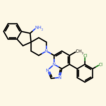 Cc1cc(N2CCC3(CC2)Cc2ccccc2C3N)n2ncnc2c1-c1cccc(Cl)c1Cl